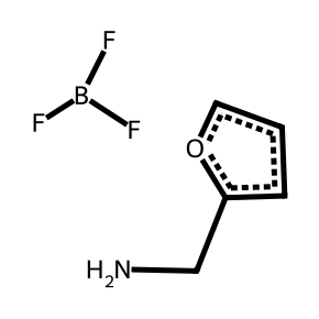 FB(F)F.NCc1ccco1